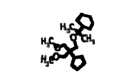 COCC(COC)(COC(C)(C)C1CCCCC1)C1CCCC1